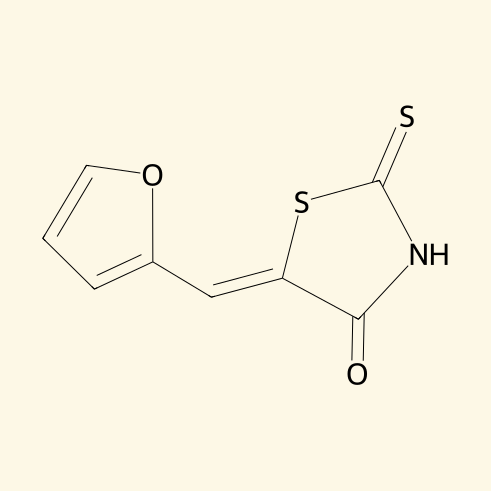 O=C1NC(=S)S/C1=C\c1ccco1